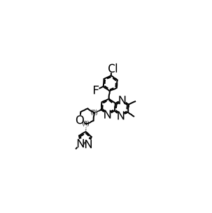 Cc1nc2nc([C@@H]3CCO[C@@H](c4cnn(C)c4)C3)cc(-c3ccc(Cl)cc3F)c2nc1C